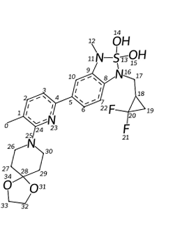 Cc1ccc(-c2ccc3c(c2)N(C)S(O)(O)N3CC2CC2(F)F)nc1N1CCC2(CC1)OCCO2